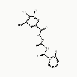 O=C(NNC(=S)NC(=O)c1ccccc1Cl)c1cc(O)c(O)c(O)c1